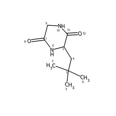 CC(C)(C)CC1NC(=O)CNC1=O